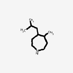 CC(C)CC1CCNCCC1C